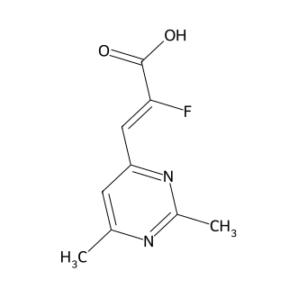 Cc1cc(/C=C(\F)C(=O)O)nc(C)n1